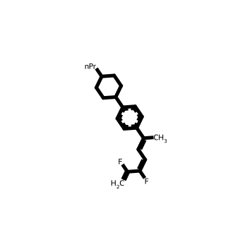 C=C(F)/C(F)=C\C=C(/C)c1ccc(C2CCC(CCC)CC2)cc1